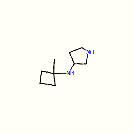 CC1(NC2CCNC2)CCC1